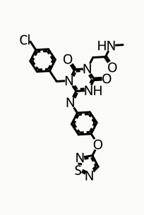 CNC(=O)Cn1c(=O)[nH]/c(=N\c2ccc(Oc3cnsn3)cc2)n(Cc2ccc(Cl)cc2)c1=O